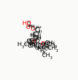 CCCCC[C@@H](CC[C@H]1C(O[Si](C)(C)C(C)(C)C)C[C@@H]2Cc3c(cccc3OCC(=O)O)C[C@@H]21)O[Si](C)(C)C(C)(C)C